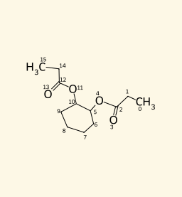 CCC(=O)OC1CCCCC1OC(=O)CC